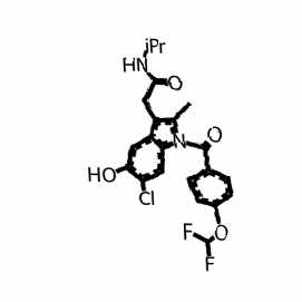 Cc1c(CC(=O)NC(C)C)c2cc(O)c(Cl)cc2n1C(=O)c1ccc(OC(F)F)cc1